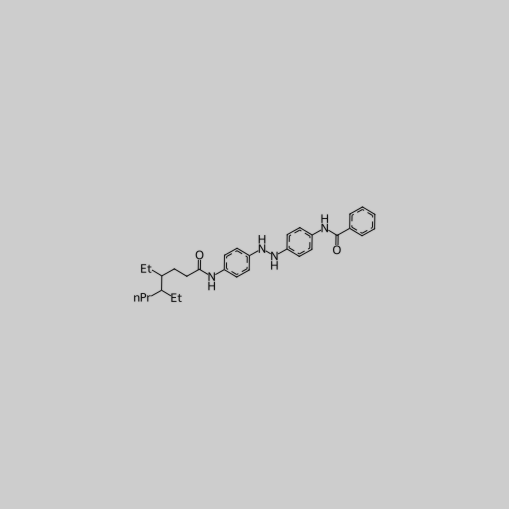 CCCC(CC)C(CC)CCC(=O)Nc1ccc(NNc2ccc(NC(=O)c3ccccc3)cc2)cc1